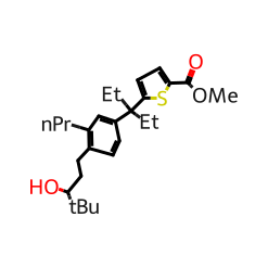 CCCc1cc(C(CC)(CC)c2ccc(C(=O)OC)s2)ccc1CCC(O)C(C)(C)C